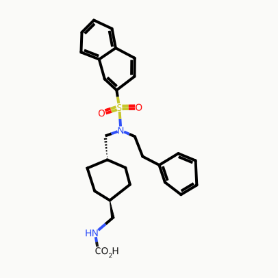 O=C(O)NC[C@H]1CC[C@H](CN(CCc2ccccc2)S(=O)(=O)c2ccc3ccccc3c2)CC1